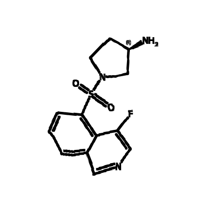 N[C@@H]1CCN(S(=O)(=O)c2cccc3cncc(F)c23)C1